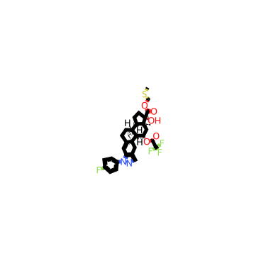 CSCOC(=O)[C@@]1(O)CC[C@H]2[C@@H]3CCC4=Cc5c(cnn5-c5ccc(F)cc5)C[C@]4(C)[C@H]3[C@@H](OC(=O)C(F)(F)F)C[C@@]21C